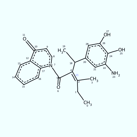 CC/C(C)=C(\C(=O)n1ccc(=O)c2ccccc21)C(C)c1cc(N)c(O)c(O)c1